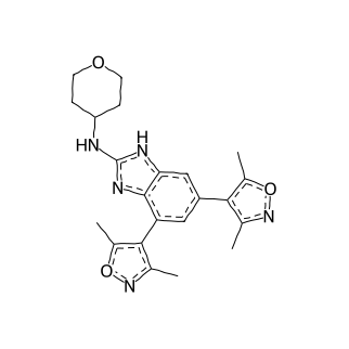 Cc1noc(C)c1-c1cc(-c2c(C)noc2C)c2nc(NC3CCOCC3)[nH]c2c1